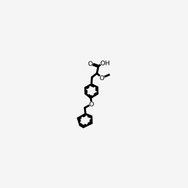 COC(Cc1ccc(OCc2ccccc2)cc1)C(=O)O